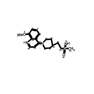 COc1cccc2c(N3CCC(CCS(C)(=N)=O)CC3)ccnc12